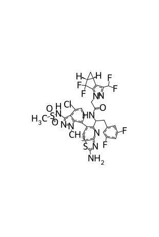 Cn1nc(NS(C)(=O)=O)c2c(Cl)ccc(-c3cc4sc(N)nc4nc3C(Cc3cc(F)cc(F)c3)NC(=O)Cn3nc(C(F)F)c4c3C(F)(F)[C@@H]3C[C@H]43)c21